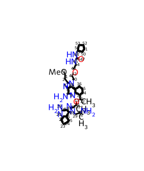 COCCc1nc2c(N)nc3c(C(C)OCc4nc5c(N)nc6ccccc6c5n4CC(C)(C)N)cccc3c2n1CCOCCNC(=O)Nc1ccccc1